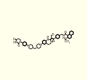 COc1ccc2ccccc2c1C(=O)NCc1ccc(-c2nn3c(c2C=O)Nc2ccc(N4CCN(CC5CCN(c6ccc(N7CCC(=O)NC7=O)cc6)CC5)CC4)cc2CC3)cc1